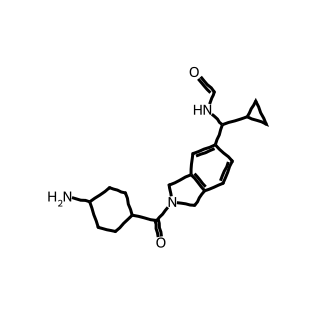 NC1CCC(C(=O)N2Cc3ccc(C(NC=O)C4CC4)cc3C2)CC1